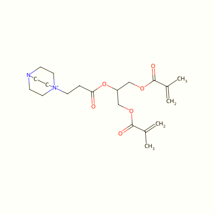 C=C(C)C(=O)OCC(COC(=O)C(=C)C)OC(=O)CC[N+]12CCN(CC1)CC2